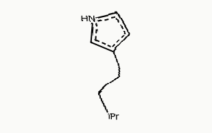 CC(C)CCc1cc[nH]c1